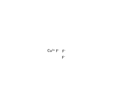 [Cu+3].[F-].[F-].[F-]